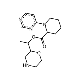 CC(OC(=O)C1CCCCN1c1ccn[c]n1)C1CNCCO1